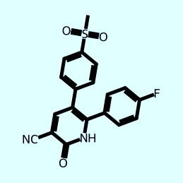 CS(=O)(=O)c1ccc(-c2cc(C#N)c(=O)[nH]c2-c2ccc(F)cc2)cc1